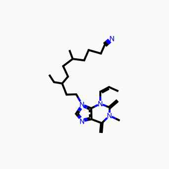 C=C1c2ncn(CCC(CC)CCC(C)CCCC#N)c2N(/C=C\C)C(=C)N1C